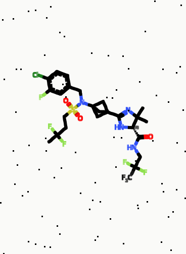 CC(F)(F)CCS(=O)(=O)N(Cc1ccc(Cl)c(F)c1)C12CC(C3=NC(C)(C)[C@H](C(=O)NCC(F)(F)C(F)(F)F)N3)(C1)C2